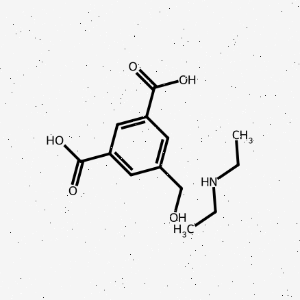 CCNCC.O=C(O)c1cc(CO)cc(C(=O)O)c1